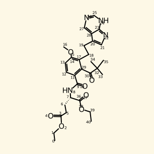 CCOC(=O)CC[C@H](NC(=O)c1ccc(OC)c(CCc2cnc3[nH]cncc2-3)c1C(=O)C(C)(C)C)C(=O)OCC